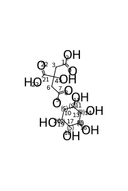 O=C(O)CC(O)(CC(=O)O[C@@H]1[C@@H](O)[C@H](O)[C@@H](O)[C@H](O)[C@@H]1O)C(=O)O